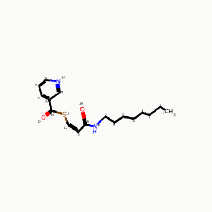 CCCCCCCCNC(=O)/C=C\SC(=O)c1cccnc1